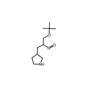 CC(C)(C)OCC(CC1CCNC1)N=O